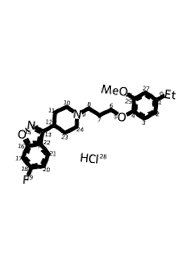 CCc1ccc(OCCCN2CCC(c3noc4cc(F)ccc34)CC2)c(OC)c1.Cl